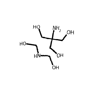 NC(CO)(CO)CO.OCNCO